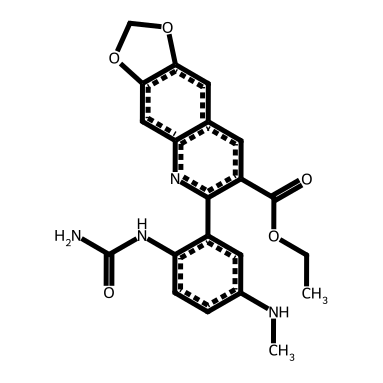 CCOC(=O)c1cc2cc3c(cc2nc1-c1cc(NC)ccc1NC(N)=O)OCO3